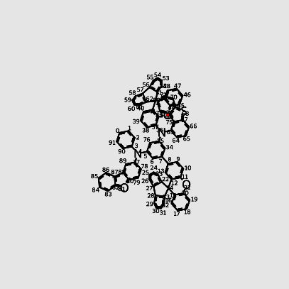 c1ccc(N(c2cc(-c3ccc4c(c3)C3(c5ccccc5O4)c4ccccc4-c4ccccc43)cc(N(c3cccc4c3Oc3ccccc3C43c4ccccc4-c4ccccc43)c3cccc4sc5ccccc5c34)c2)c2ccc3oc4ccccc4c3c2)cc1